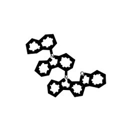 c1ccc2c(-n3c4ccccc4c4c(-n5c6ccccc6c6ccc7c8ccccc8oc7c65)cccc43)cccc2c1